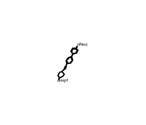 CCCCCCCC1CCC(C#Cc2ccc(-c3ccc(CCCCC)cc3)cc2)CC1